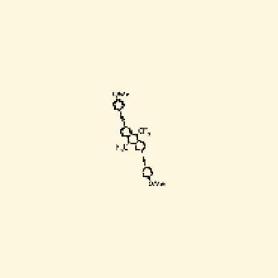 COc1ccc(C#Cc2ccc3c(C(F)(F)F)c4cc(C#Cc5ccc(OC)cc5)ccc4c(C(F)(F)F)c3c2)cc1